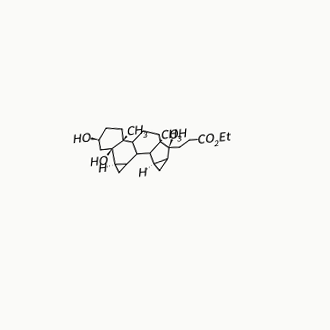 CCOC(=O)CC[C@]1(O)C2C[C@H]2C2C3C4C[C@H]4[C@]4(O)C[C@@H](O)CC[C@]4(C)C3CC[C@@]21C